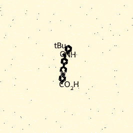 CC(C)(C)c1cccc(NC(=O)c2ccc(C3CCN(c4ccc(C(=O)O)cc4)CC3)cc2)c1